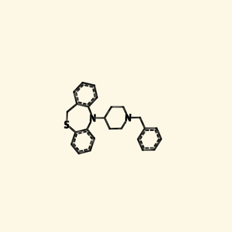 c1ccc(CN2CCC(N3c4ccccc4CSc4ccccc43)CC2)cc1